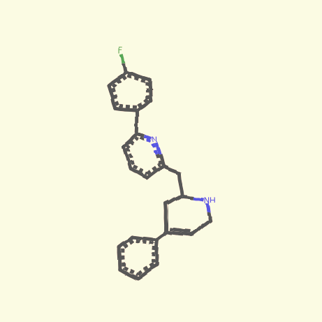 Fc1ccc(-c2cccc(CC3CC(c4ccccc4)=CCN3)n2)cc1